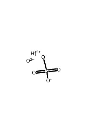 O=S(=O)([O-])[O-].[Hf+4].[O-2]